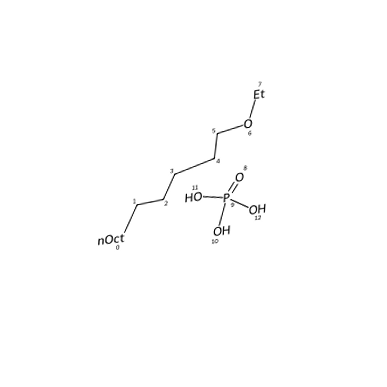 CCCCCCCCCCCCCOCC.O=P(O)(O)O